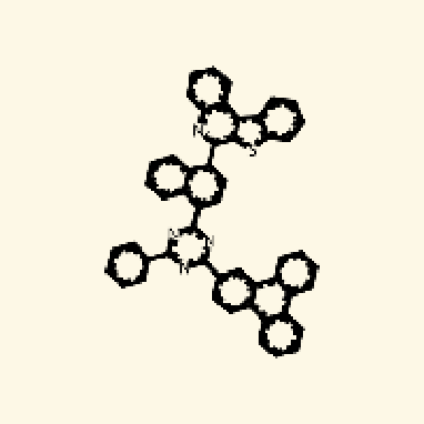 c1ccc(-c2nc(-c3ccc4c5ccccc5c5ccccc5c4c3)nc(-c3ccc(-c4nc5ccccc5c5c4sc4ccccc45)c4ccccc34)n2)cc1